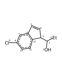 CCC(O)C1C=Cc2cc(Cl)ccc21